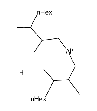 CCCCCCC(C)C(C)[CH2][Al+][CH2]C(C)C(C)CCCCCC.[H-]